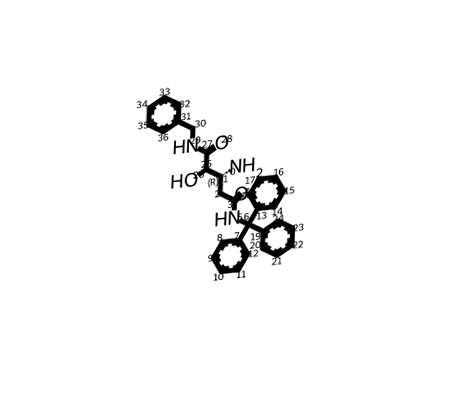 N[C@H](CC(=O)NC(c1ccccc1)(c1ccccc1)c1ccccc1)C(O)C(=O)NCc1ccccc1